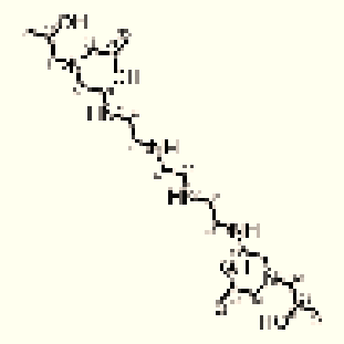 CC(O)CN(CCNCCNCCNCCNCCN(CC(C)O)CC(C)O)CC(C)O